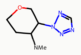 CNC1CCOCC1n1ncnn1